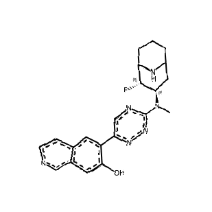 CN(c1ncc(-c2cc3ccncc3cc2O)nn1)[C@@H]1CC2CCCC(N2)[C@H]1F